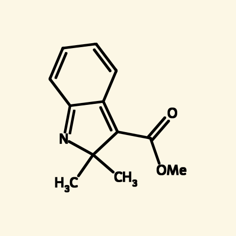 COC(=O)C1=c2ccccc2=NC1(C)C